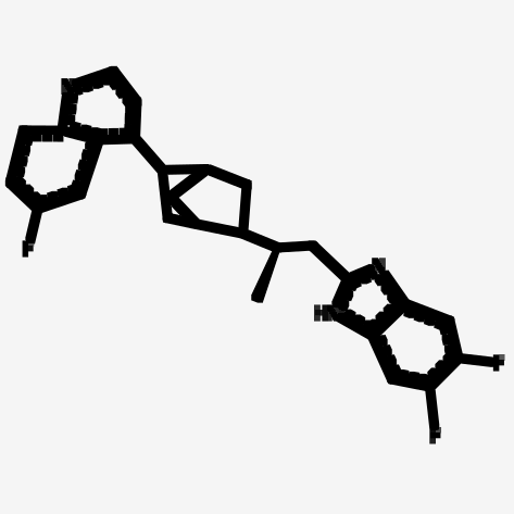 C[C@H](Cc1nc2cc(F)c(F)cc2[nH]1)C1CC2CC1CC2c1ccnc2ccc(F)cc12